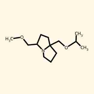 COCC1CCC2(COC(C)C)CCCN12